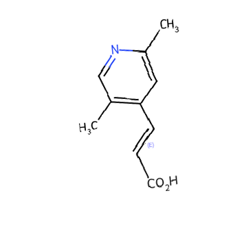 Cc1cc(/C=C/C(=O)O)c(C)cn1